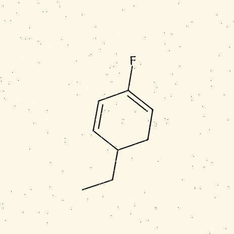 CCC1C=CC(F)=CC1